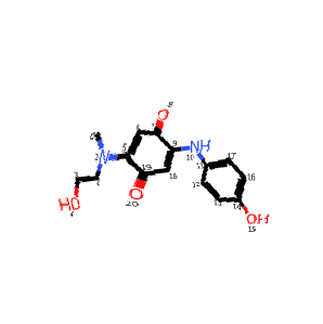 CN(CCO)C1=CC(=O)C(Nc2ccc(O)cc2)=CC1=O